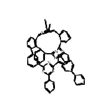 CC1=C=C2C(C)=CC(=N1)c1cccc(-c3cccc(-c4nc(-c5ccccc5)nc(-c5ccccc5)n4)c3)c1-c1ccccc1-c1nc(-c3ccc(-c4ccccc4)cc3)nc(n1)-c1ccccc12